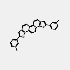 Cc1cccc(-c2cc3ccc4c5ccc6cc(-c7cccc(C)c7)sc6c5ccc4c3s2)c1